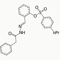 CCCc1ccc(S(=O)(=O)Oc2ccccc2C=NNC(=O)Cc2ccccc2)cc1